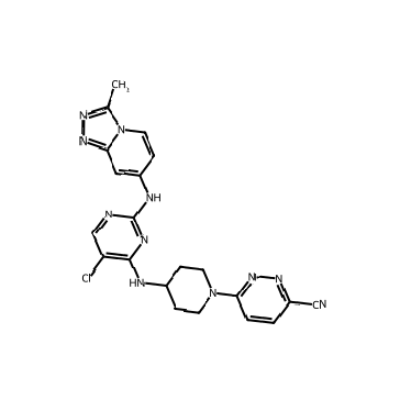 Cc1nnc2cc(Nc3ncc(Cl)c(NC4CCN(c5ccc(C#N)nn5)CC4)n3)ccn12